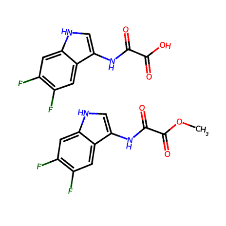 COC(=O)C(=O)Nc1c[nH]c2cc(F)c(F)cc12.O=C(O)C(=O)Nc1c[nH]c2cc(F)c(F)cc12